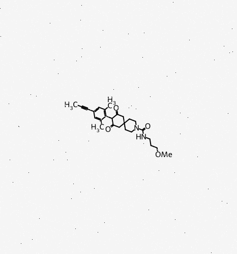 CC#Cc1cc(C)c(C2C(=O)CC3(CCN(C(=O)NCCCOC)CC3)CC2=O)c(C)c1